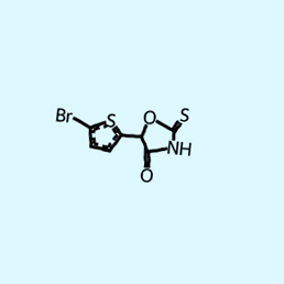 O=C1NC(=S)OC1c1ccc(Br)s1